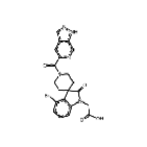 O=C(O)CN1C(=O)C2(CCN(C(=O)c3cc4cn[nH]c4cn3)CC2)c2c(Br)cccc21